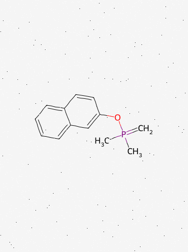 C=P(C)(C)Oc1ccc2ccccc2c1